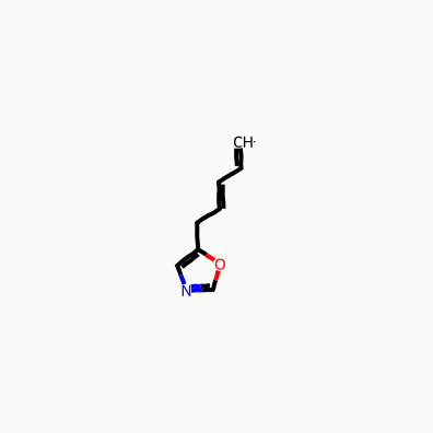 [CH]=CC=CCc1cnco1